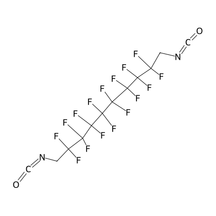 O=C=NCC(F)(F)C(F)(F)C(F)(F)C(F)(F)C(F)(F)C(F)(F)C(F)(F)C(F)(F)CN=C=O